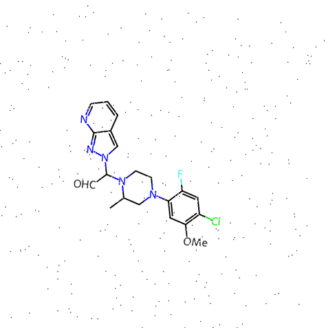 COc1cc(N2CCN(C(C=O)n3cc4cccnc4n3)C(C)C2)c(F)cc1Cl